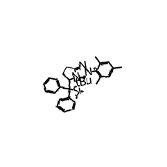 Cc1cc(C)c(-[n+]2cn3c(n2)CCC3C(c2ccccc2)(c2ccccc2)[Si](C)(C)C(C)(C)C)c(C)c1